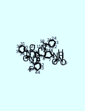 CONC(=O)Nc1ccc(-c2sc3c(c2CN(C)[C@@H](C)c2ccccc2)c(=O)n(-c2ccccc2)c(=O)n3Cc2c(F)cccc2F)cc1